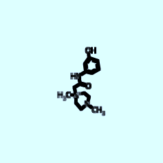 CN1CC[N+](C)(CC(=O)Nc2cccc(O)c2)CC1